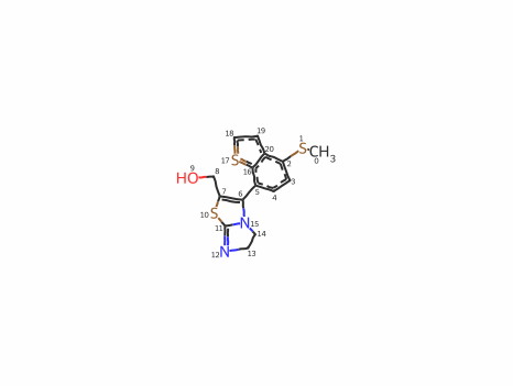 CSc1ccc(C2=C(CO)SC3=NCCN32)c2sccc12